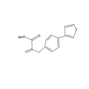 C=C(Cc1ccc(-c2ccsc2)cc1)C(=O)OC